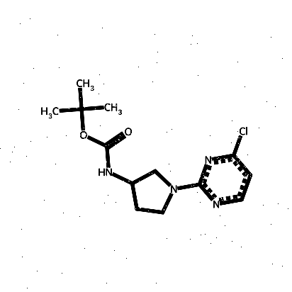 CC(C)(C)OC(=O)NC1CCN(c2nccc(Cl)n2)C1